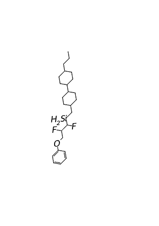 CCCC1CCC(C2CCC(C[SiH2]C(F)C(F)COc3ccccc3)CC2)CC1